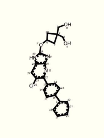 OCC1(CO)CC(Oc2nc3nc(-c4ccc(-c5ccccc5)cc4)c(Cl)cc3[nH]2)C1